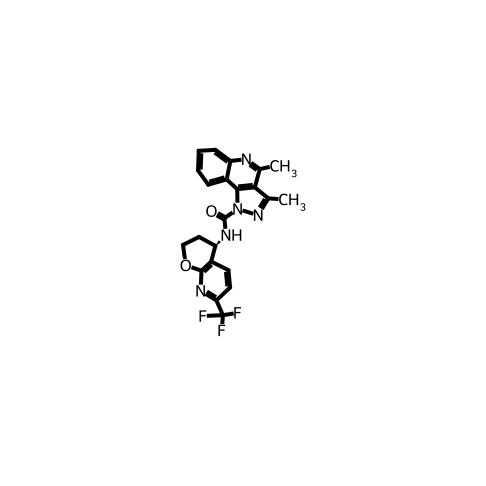 Cc1nc2ccccc2c2c1c(C)nn2C(=O)N[C@H]1CCOc2nc(C(F)(F)F)ccc21